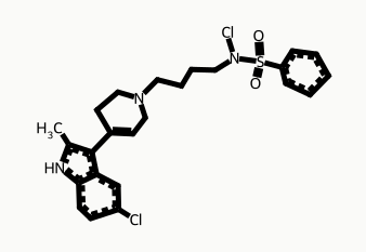 Cc1[nH]c2ccc(Cl)cc2c1C1=CCN(CCCCN(Cl)S(=O)(=O)c2ccccc2)CC1